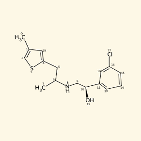 Cc1csc(CC(C)NC[C@H](O)c2cccc(Cl)c2)c1